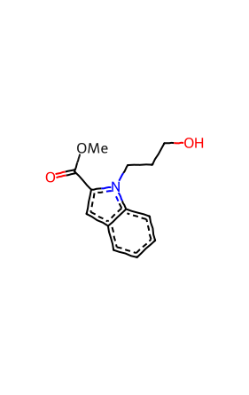 COC(=O)c1cc2ccccc2n1CCCO